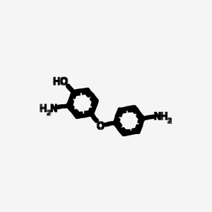 Nc1ccc(Oc2ccc(O)c(N)c2)cc1